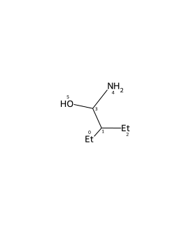 CCC(CC)C(N)O